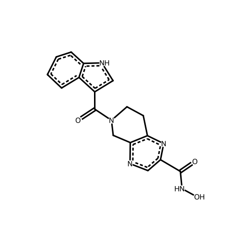 O=C(NO)c1cnc2c(n1)CCN(C(=O)c1c[nH]c3ccccc13)C2